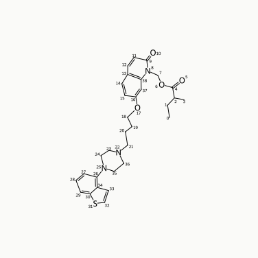 CCC(C)C(=O)OCn1c(=O)ccc2ccc(OCCCCN3CCN(c4cccc5sccc45)CC3)cc21